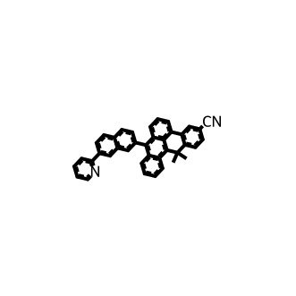 CC1(C)c2ccc(C#N)cc2-c2cccc3c(-c4ccc5ccc(-c6ccccn6)cc5c4)c4ccccc4c1c23